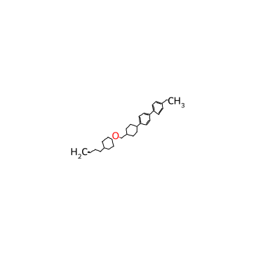 C=CCCC1CCC(OCC2CCC(c3ccc(-c4ccc(CC)cc4)cc3)CC2)CC1